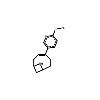 COc1ccc(C2=CCC3CC(CC2)N3)cn1